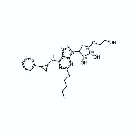 CCCCSc1nc(NC2CC2c2ccccc2)c2nnn(C3C[C@@H](OCCO)[C@H](O)[C@@H]3O)c2n1